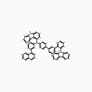 c1cc(-c2ccc(N(c3cccc(-c4cccc5ccccc45)c3)c3cccc4sc5ccccc5c34)cc2)cc(-c2ccccc2-n2c3ccccc3c3ccccc32)c1